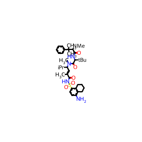 CNC(C(=O)NC(C(=O)N(C)C(/C=C(\C)C(=O)NS(=O)(=O)c1ccc(N)c2c1CCCC2)C(C)C)C(C)(C)C)C(C)(C)c1ccccc1